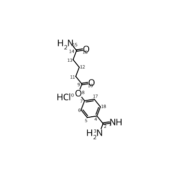 Cl.N=C(N)c1ccc(OC(=O)CCCC(N)=O)cc1